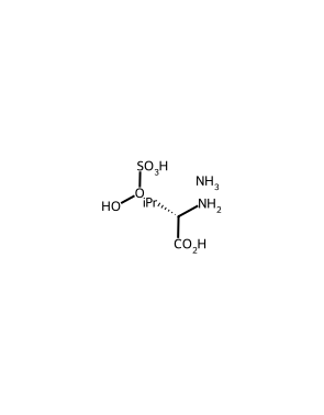 CC(C)[C@H](N)C(=O)O.N.O=S(=O)(O)OO